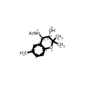 CC(=O)N[C@@H]1c2cc(C)ccc2OC(C)(C)[C@H]1O